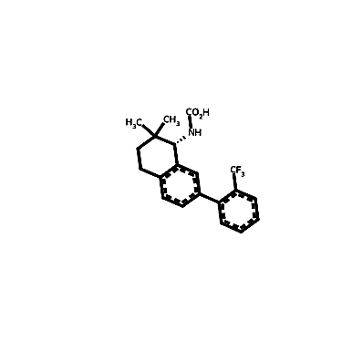 CC1(C)CCc2ccc(-c3ccccc3C(F)(F)F)cc2[C@H]1NC(=O)O